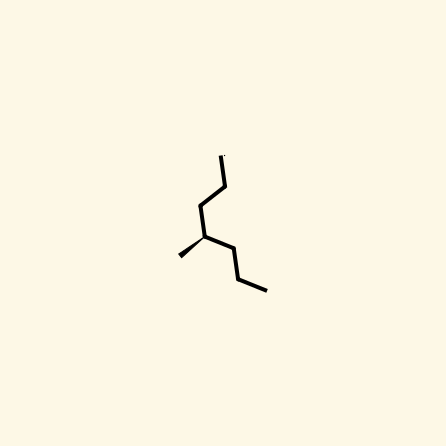 [CH2]CC[C@H](C)CCC